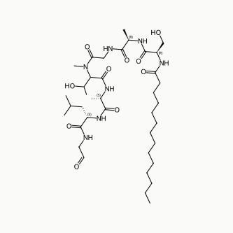 CCCCCCCCCCCCCC(=O)N[C@H](CO)C(=O)N[C@H](C)C(=O)NCC(=O)N(C)C(C(=O)N[C@@H](C)C(=O)N[C@@H](CC(C)C)C(=O)NCC=O)C(C)O